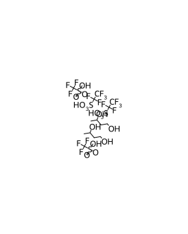 CC(O)CCO.CC(O)CCO.O=S(=O)(O)C(F)(F)C(F)(F)F.O=S(=O)(O)C(F)(F)C(F)(F)F.O=S(=O)(O)C(F)(F)F.O=S(=O)(O)C(F)(F)F